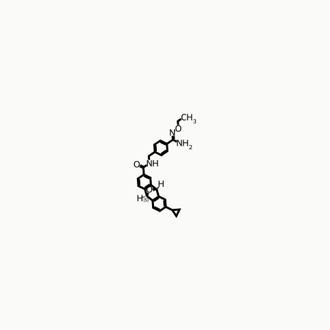 CCON=C(N)c1ccc(CNC(=O)c2ccc3c(c2)[C@@H]2O[C@H]3c3ccc(C4CC4)cc32)cc1